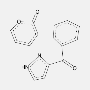 O=C(c1ccccc1)c1cc[nH]n1.O=c1cccco1